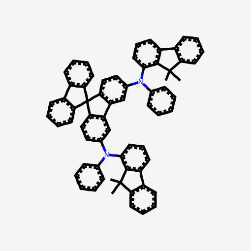 CC1(C)c2ccccc2-c2cccc(N(c3ccccc3)c3ccc4c(c3)-c3cc(N(c5ccccc5)c5cccc6c5C(C)(C)c5ccccc5-6)ccc3C43c4ccccc4-c4ccccc43)c21